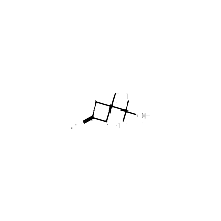 [2H]C([2H])(O)C1(C)CC(=O)C1